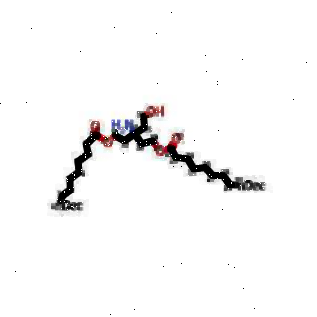 CCCCCCCCCCCCCCCCCC(=O)OCCC(N)(CCO)CCOC(=O)CCCCCCCCCCCCCCCCC